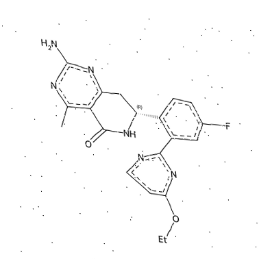 CCOc1ccnc(-c2cc(F)ccc2[C@H]2Cc3nc(N)nc(C)c3C(=O)N2)n1